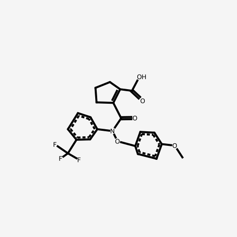 COc1ccc(ON(C(=O)C2=C(C(=O)O)CCC2)c2cccc(C(F)(F)F)c2)cc1